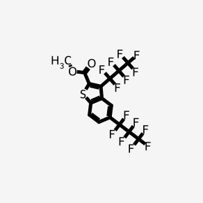 COC(=O)c1sc2ccc(C(F)(F)C(F)(F)C(F)(F)F)cc2c1C(F)(F)C(F)(F)C(F)(F)F